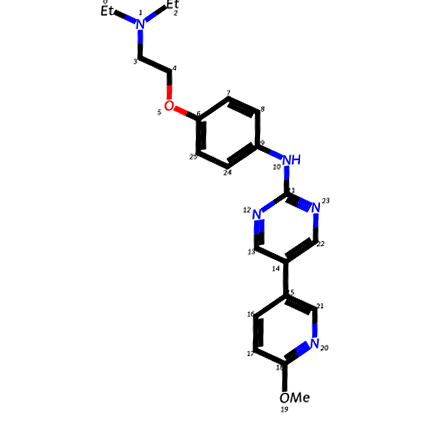 CCN(CC)CCOc1ccc(Nc2ncc(-c3ccc(OC)nc3)cn2)cc1